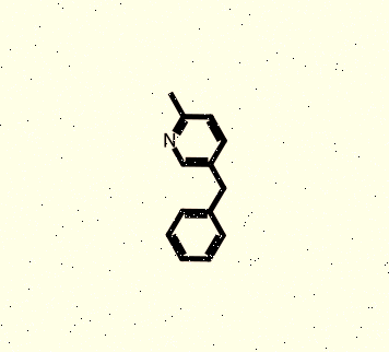 Cc1ccc(Cc2ccccc2)cn1